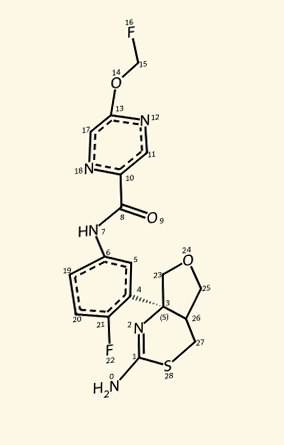 NC1=N[C@@]2(c3cc(NC(=O)c4cnc(OCF)cn4)ccc3F)COCC2CS1